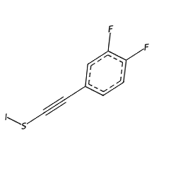 Fc1ccc(C#CSI)cc1F